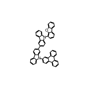 c1ccc2c(c1)oc1c(-n3c4ccccc4c4cc(-c5ccc6c7ccccc7n(-c7ccc8c9ccccc9c9ccccc9c8c7)c6c5)ccc43)cccc12